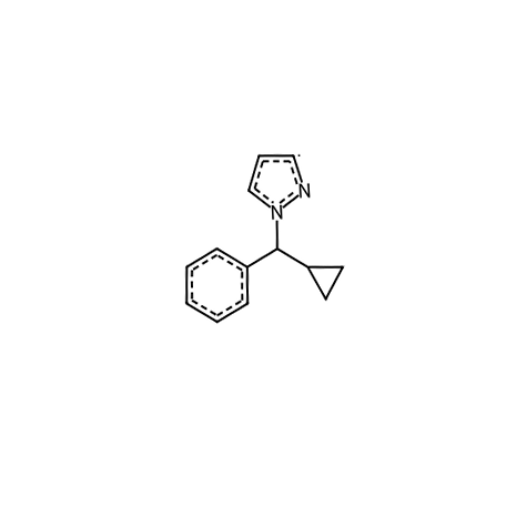 [c]1ccn(C(c2ccccc2)C2CC2)n1